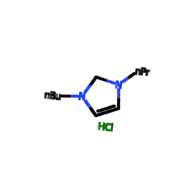 CCCCN1C=CN(CCC)C1.Cl